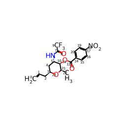 C=CC[C@H]1C[C@H](NC(=O)C(F)(F)F)[C@@H](OC(=O)c2ccc([N+](=O)[O-])cc2)[C@@H](C)O1